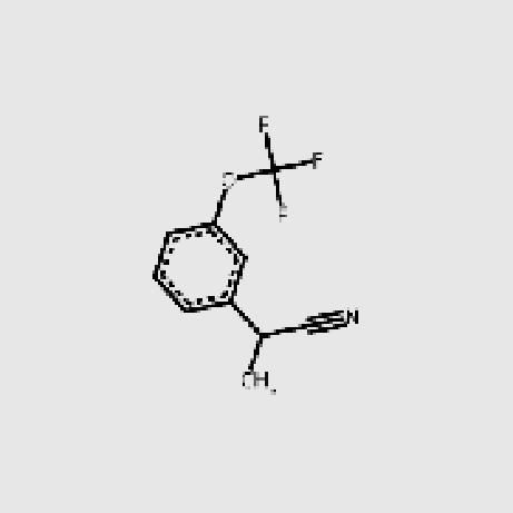 CC(C#N)c1cccc(OC(F)(F)F)c1